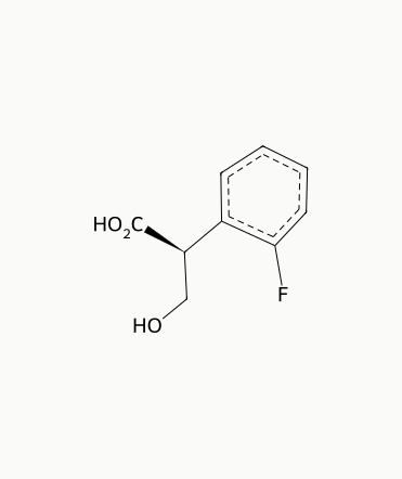 O=C(O)[C@H](CO)c1ccccc1F